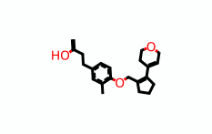 C=C(O)CCc1ccc(OCC2=C(C3=CCOCC3)CCC2)c(C)c1